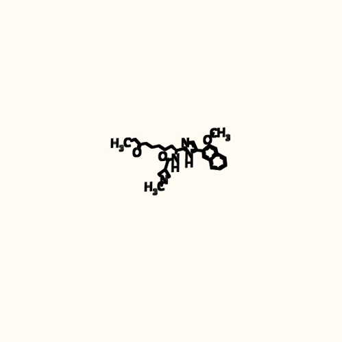 CCC(=O)CCCCC[C@H](NC(=O)C1CN(C)C1)c1ncc(-c2cc3ccccc3cc2OC)[nH]1